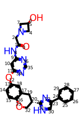 O=C(CN1CC(O)C1)Nc1cc(Oc2ccc3c(c2)C[C@H](c2nc(-c4ccccc4)c[nH]2)CO3)ncn1